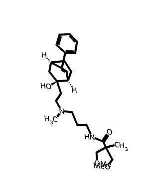 COCC(C)(COC)C(=O)NCCCN(C)CC[C@]1(O)C[C@H]2CC[C@@H]1C=C2c1ccccc1